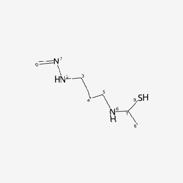 C=NNCCCNC(C)S